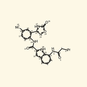 CC(C)CC(=O)Nc1cccc2cc(C(=O)Nc3ccc(C#N)cc3-c3noc(=O)[nH]3)[nH]c12